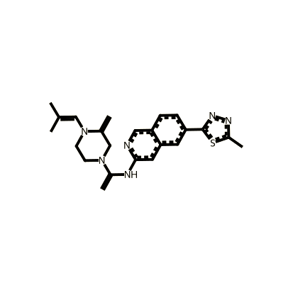 C=C1CN(C(=C)Nc2cc3cc(-c4nnc(C)s4)ccc3cn2)CCN1C=C(C)C